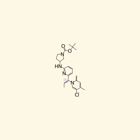 C=C1C=C(C)C(Cl)=CN1/C(=C\C)c1cccc(NC2CCN(C(=O)OC(C)(C)C)C2)n1